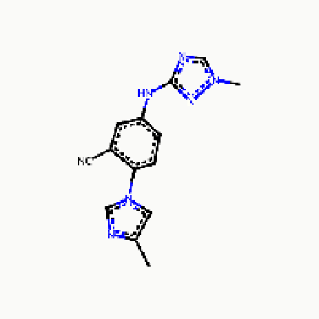 Cc1cn(-c2ccc(Nc3ncn(C)n3)cc2C#N)cn1